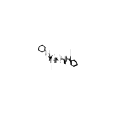 CC(C)(/N=N/C1CCCCC1)NC(=O)NNC(=S)Nc1ccccc1